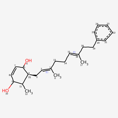 C/C(=C\C[C@@H]1C(O)C=CC(O)C1C)CC/C=C(\C)CCc1ccccc1